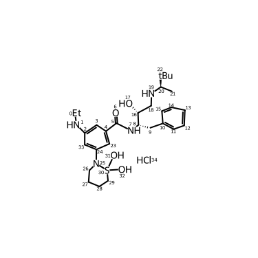 CCNc1cc(C(=O)N[C@@H](Cc2ccccc2)[C@H](O)CN[C@H](C)C(C)(C)C)cc(N2CCCCS2(O)O)c1.Cl